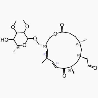 COC1C(OC[C@H]2/C=C(C)/C=C/C(=O)[C@H](C)C[C@H](CC=O)C[C@@H](C)CCC(=O)OC2)O[C@H](C)C(O)C1OC